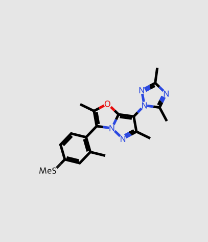 CSc1ccc(-c2c(C)oc3c(-n4nc(C)nc4C)c(C)nn23)c(C)c1